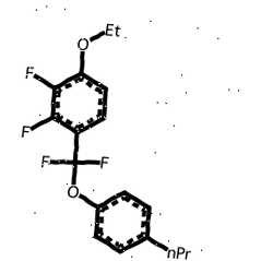 CCCc1ccc(OC(F)(F)c2ccc(OCC)c(F)c2F)cc1